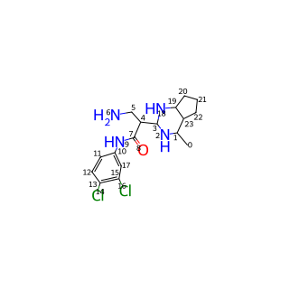 CC1NC(C(CN)C(=O)Nc2ccc(Cl)c(Cl)c2)NC2CCCC12